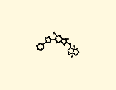 Clc1cc2[nH]c(OC3CO[C@@H]4CCO[C@H]34)nc2nc1-c1cc(-c2ccccc2)no1